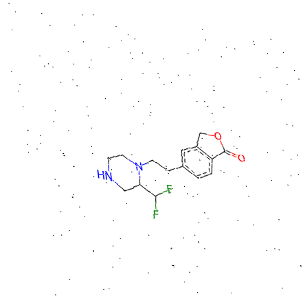 O=C1OCc2cc(CCN3CCNCC3C(F)F)ccc21